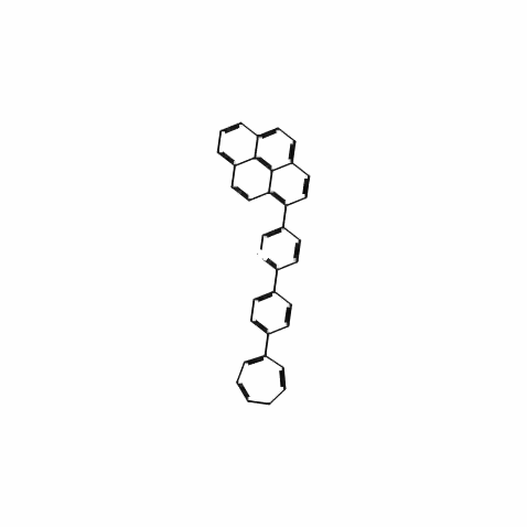 C1=CCC=CC(c2ccc(-c3ccc(-c4ccc5ccc6cccc7ccc4c5c67)cn3)cc2)=C1